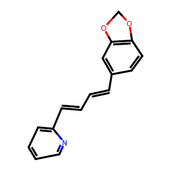 C(C=Cc1ccccn1)=Cc1ccc2c(c1)OCO2